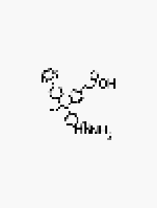 CC/C(=C(/c1ccc(/C=C/C(=O)O)cc1)c1cccc(CNN)c1)c1ccc(-c2nccs2)cc1